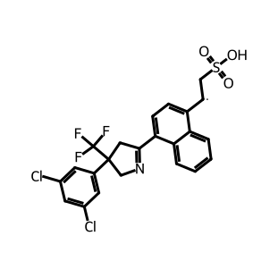 O=S(=O)(O)C[CH]c1ccc(C2=NCC(c3cc(Cl)cc(Cl)c3)(C(F)(F)F)C2)c2ccccc12